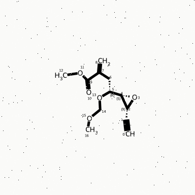 C#C[C@H]1O[C@H]1[C@@H](CC(=C)C(=O)OC)OCOC